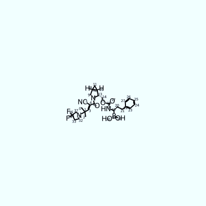 CC(C)(/C=C(\C#N)C(=O)N1C[C@@H]2C[C@@H]2[C@@H]1COC(=O)N[C@@H](CCc1ccccc1)B(O)O)N1CCC(F)(F)C1